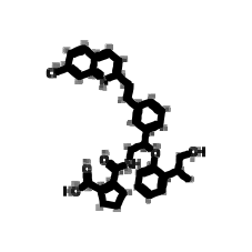 CC(CO)c1ccccc1OC(CNC(=O)C1=C(C(=O)O)CCC1)c1cccc(C=Cc2ccc3ccc(Cl)cc3n2)c1